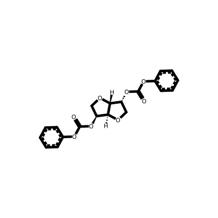 O=C(Oc1ccccc1)O[C@H]1CO[C@H]2[C@H]1OC[C@H]2OC(=O)Oc1ccccc1